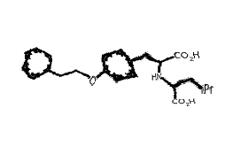 CC(C)CC(NC(Cc1ccc(OCCc2ccccc2)cc1)C(=O)O)C(=O)O